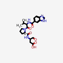 CC(C)C(NC(=O)c1ccc2nc[nH]c2c1)C(=O)N1CCC[C@H]1C(=O)NC(C=O)CC(=O)O